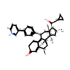 C[C@@H]1C[C@@H]2C(=C3CCC(=O)C=C31)[C@@H](c1ccc(-c3cccnc3)cc1)C[C@@]1(C)[C@H]2C[C@@H](C)[C@@H]1C(=O)C1CC1